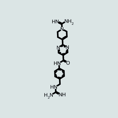 N=C(N)NCc1ccc(NC(=O)c2cnc(C3=CCN(C(=N)N)CC3)nc2)cc1